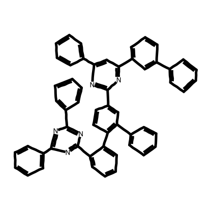 c1ccc(-c2cccc(-c3cc(-c4ccccc4)nc(-c4ccc(-c5ccccc5-c5nc(-c6ccccc6)nc(-c6ccccc6)n5)c(-c5ccccc5)c4)n3)c2)cc1